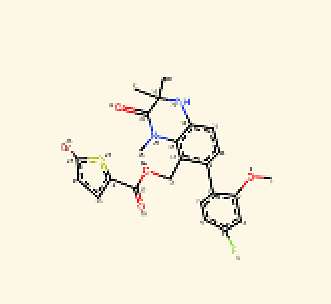 COc1cc(F)ccc1-c1ccc2c(c1COC(=O)c1ccc(Br)s1)N(C)C(=O)C(C)(C)N2